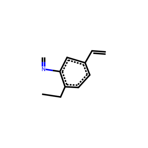 C=Cc1ccc(CC)c(N=C)c1